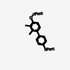 CCCCCOc1ccc(-c2ccc(CCCCC)cc2)c(C)c1C